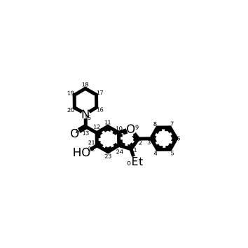 CCc1c(-c2ccccc2)oc2cc(C(=O)N3CCCCC3)c(O)cc12